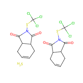 O=C1C2CC=CCC2C(=O)N1SC(Cl)(Cl)Cl.O=C1C2CC=CCC2C(=O)N1SC(Cl)(Cl)Cl.S